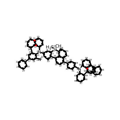 C[Si]1(C)c2cc(N(c3ccccc3)c3c(F)cc(-c4ccccc4)cc3-c3ccccc3)ccc2-c2ccc(-c3ccc(N(c4ccccc4-c4ccccc4)c4cccc5c4oc4ccccc45)cc3)c3cccc1c23